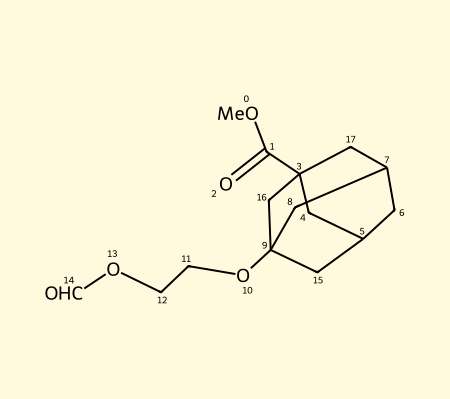 COC(=O)C12CC3CC(CC(OCCOC=O)(C3)C1)C2